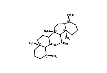 C[C@H]1CCC[C@]2(C)CCC3C(=CC(=O)C4[C@@]3(C)CCC3[C@@H](C(=O)O)CCC[C@@]34C)C12